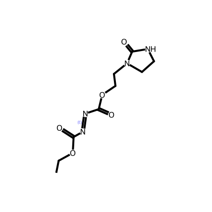 CCOC(=O)/N=N/C(=O)OCCN1CCNC1=O